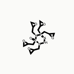 O=P1(CC2CO2)N(CC2CO2)PN=P(CC2CO2)(CC2CO2)N1CC1CO1